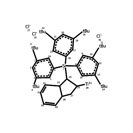 CC(C)(C)c1cc(C(C)(C)C)cc([Si](c2cc(C(C)(C)C)cc(C(C)(C)C)c2)(c2cc(C(C)(C)C)cc(C(C)(C)C)c2)C2[CH]([Ti+3])CC3C=CC=CC32)c1.[Cl-].[Cl-].[Cl-]